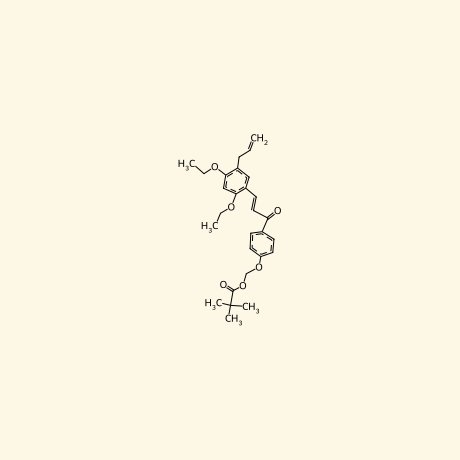 C=CCc1cc(/C=C/C(=O)c2ccc(OCOC(=O)C(C)(C)C)cc2)c(OCC)cc1OCC